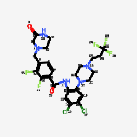 O=C1CN(Cc2ccc(C(=O)Nc3cc(Cl)c(Cl)cc3N3CCN(CCC(F)(F)F)CC3)c(F)c2F)CCN1